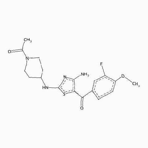 COc1ccc(C(=O)c2sc(NC3CCN(C(C)=O)CC3)nc2N)cc1F